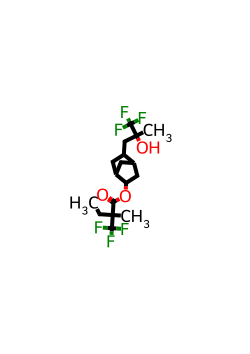 CCC(C)(C(=O)OC1CC2CC1CC2CC(C)(O)C(F)(F)F)C(F)(F)F